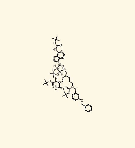 CC(C)(C)OC(=O)Nc1ncnc2c1ncn2[C@@H]1O[C@H](CN(CCCN(Cc2cccc(OCc3ccccc3)c2)C(=O)OC(C)(C)C)CC[C@H](NC(=O)OC(C)(C)C)C(=O)O)[C@H]2OC(C)(C)O[C@H]21